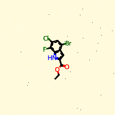 CCOC(=O)c1cc2c(Br)cc(Cl)c(F)c2[nH]1